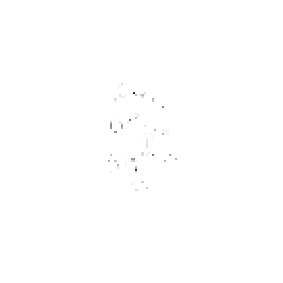 NC(=O)[C@@H]1CCC[C@](O)(C#Cc2cccc(Cl)c2)C1.NC(=O)c1ccncc1[C@H]1CCC[C@@](O)(C#Cc2cccc(Cl)c2)C1.O=C(N[C@@H]1CCC[C@@](C#Cc2cccc(Cl)c2)(OC(=O)c2ncc(F)cc2F)C1)c1ccncc1